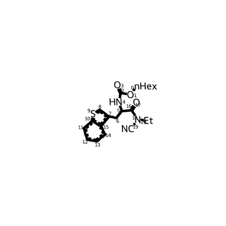 CCCCCCOC(=O)NC(Cc1csc2ccccc12)C(=O)N(C#N)CC